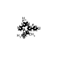 COc1ccncc1-c1cc2c(cnn2-c2cc(N3C[C@H](CS(C)(=O)=O)[C@H]3C)cc(-c3ccc(Cl)nc3F)n2)c(C)n1